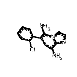 Nc1cc(-c2ccccc2Cl)c(N)n2ccnc12